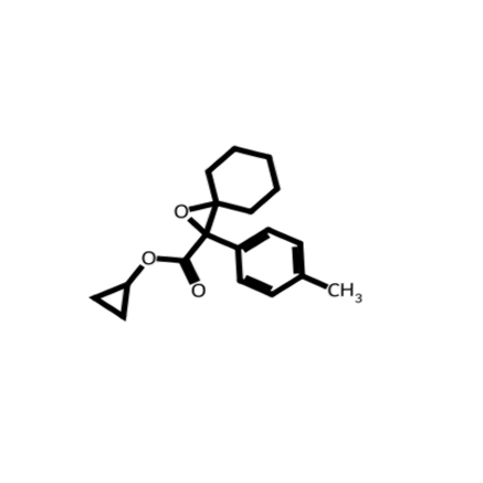 Cc1ccc(C2(C(=O)OC3CC3)OC23CCCCC3)cc1